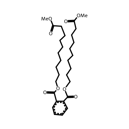 COC(=O)CCCCCCCCCOC(=O)c1ccccc1C(=O)OCCCCCCCCCC(=O)OC